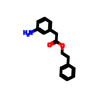 Nc1cccc(CC(=O)OCCc2ccccc2)c1